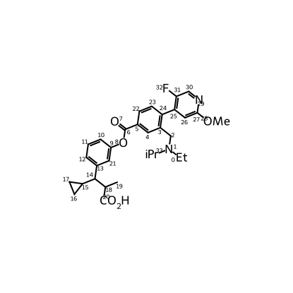 CCN(Cc1cc(C(=O)Oc2cccc(C(C3CC3)C(C)C(=O)O)c2)ccc1-c1cc(OC)ncc1F)C(C)C